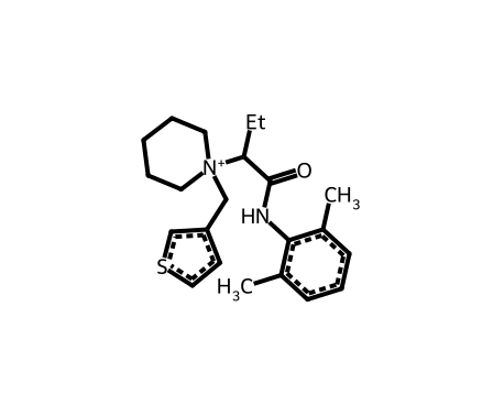 CCC(C(=O)Nc1c(C)cccc1C)[N+]1(Cc2ccsc2)CCCCC1